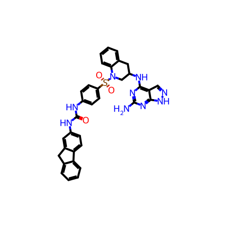 Nc1nc(NC2Cc3ccccc3N(S(=O)(=O)c3ccc(NC(=O)Nc4ccc5c(c4)Cc4ccccc4-5)cc3)C2)c2cn[nH]c2n1